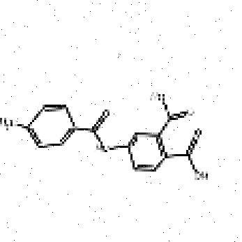 Cc1ccc(C(=O)Nc2ccc(C(=O)O)c(C(=O)O)c2)cc1